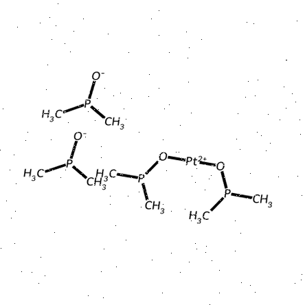 CP(C)[O-].CP(C)[O-].CP(C)[O][Pt+2][O]P(C)C